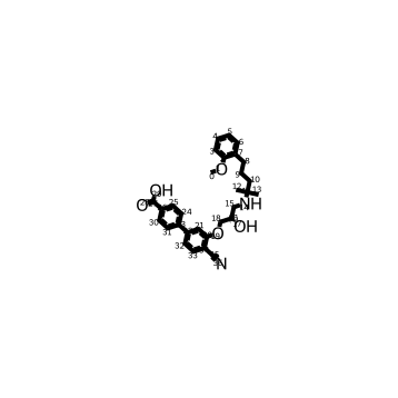 COc1ccccc1CCCC(C)(C)NC[C@H](O)COc1cc(-c2ccc(C(=O)O)cc2)ccc1C#N